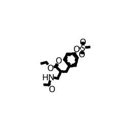 CCOC(=O)C(CNC(C)=O)Cc1ccc(OS(C)(=O)=O)cc1